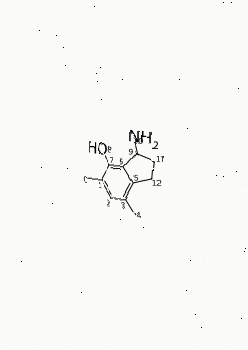 Cc1cc(C)c2c(c1O)C(N)CC2